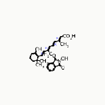 CC1=C(/C=C/C(C)=C/C=C/C(C)=C/C(=O)O)C(C)(C)CCC1.O=C1c2ccccc2C(=O)N1O